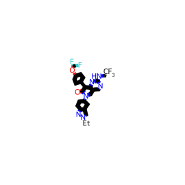 CCn1cc2cc(-n3cc4cnc(NCC(F)(F)F)nc4c(-c4ccc(OC(F)F)cc4)c3=O)ccc2n1